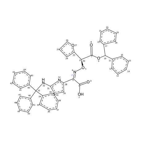 O=C(O)/C(=N\O[C@H](C(=O)OC(c1ccccc1)c1ccccc1)c1ccco1)c1csc(NC(c2ccccc2)(c2ccccc2)c2ccccc2)n1